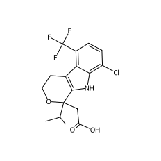 CC(C)C1(CC(=O)O)OCCc2c1[nH]c1c(Cl)ccc(C(F)(F)F)c21